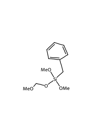 COCO[Si](Cc1ccccc1)(OC)OC